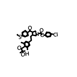 CSc1ccc(C(=O)C2CN(C(=O)Oc3ccc(Cl)cc3)CC2CCc2cc(C)c(C(=O)C(C)(C)O)c(C)c2)cc1